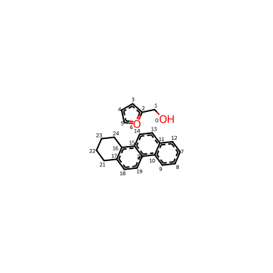 OCc1ccco1.c1ccc2c(c1)ccc1c3c(ccc12)CCCC3